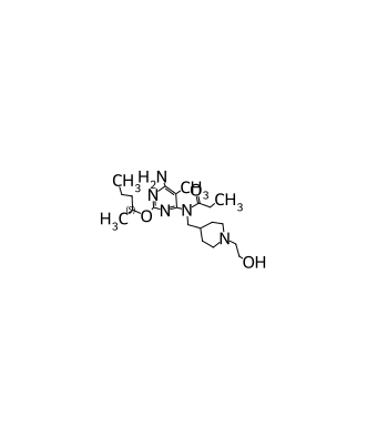 CCC[C@H](C)Oc1nc(N)c(C)c(N(CC2CCN(CCO)CC2)C(=O)CC)n1